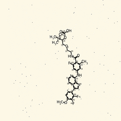 COc1ccc(-c2cnc3c(Nc4cc(C)c(C(=O)NCCOCC(OC(=O)O)[N+](C)(C)C)c(F)c4)nccn23)c(F)c1F